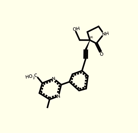 Cc1cc(C(=O)O)nc(-c2cccc(C#C[C@@]3(CO)CCNC3=O)c2)n1